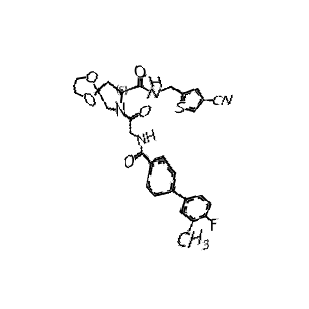 Cc1cc(-c2ccc(C(=O)NCC(=O)N3CC4(C[C@H]3C(=O)NCc3cc(C#N)cs3)OCCO4)cc2)ccc1F